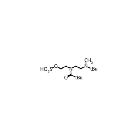 CN(CCN(CCOS(=O)(=O)O)C(=O)C(C)(C)C)C(C)(C)C